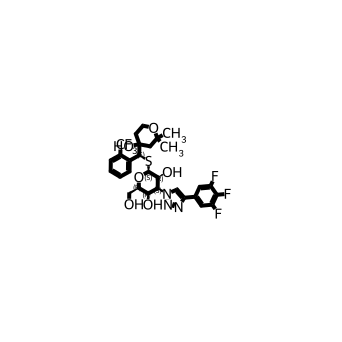 CC1(C)CC(O)([C@@H](S[C@@H]2O[C@H](CO)[C@H](O)[C@H](n3cc(-c4cc(F)c(F)c(F)c4)nn3)[C@H]2O)c2ccccc2C(F)(F)F)CCO1